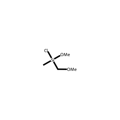 COC[Si](C)(Cl)OC